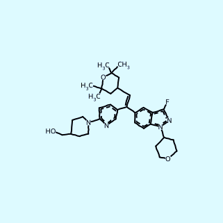 CC1(C)CC(C=C(c2ccc(N3CCC(CO)CC3)nc2)c2ccc3c(c2)c(F)nn3C2CCOCC2)CC(C)(C)O1